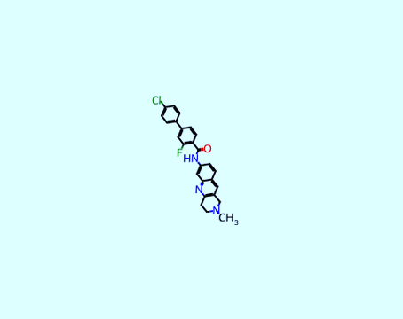 CN1CCc2nc3cc(NC(=O)c4ccc(-c5ccc(Cl)cc5)cc4F)ccc3cc2C1